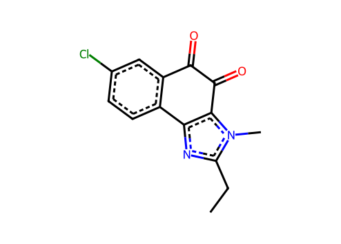 CCc1nc2c(n1C)C(=O)C(=O)c1cc(Cl)ccc1-2